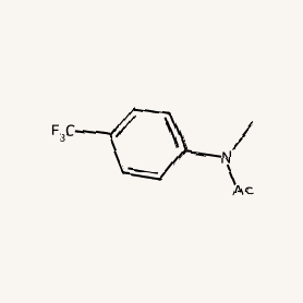 CC(=O)N(C)c1ccc(C(F)(F)F)cc1